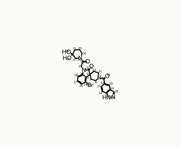 O=C(CN1C(=O)C2(CCN(C(=O)c3ccc4[nH]ncc4c3)CC2)c2c(Br)cccc21)N1CCCC(O)(O)C1